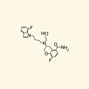 CCN(CCCCn1ccc2cccc(F)c21)C1COc2c(F)ccc(C(N)=O)c2C1.Cl